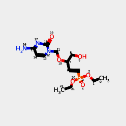 CCOP(=O)(C=CC(CO)OCn1ccc(N)nc1=O)OCC